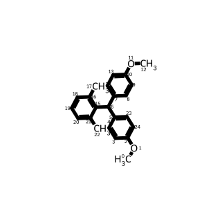 COc1ccc(C(c2ccc(OC)cc2)c2c(C)c[c]cc2C)cc1